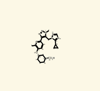 Cc1nc(-c2nnn(C)c2Cn2ncnc2C2CC2)ccc1O[C@H]1CCC[C@H](C(=O)O)C1